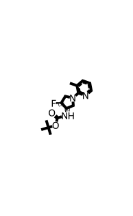 Cc1cccnc1N1C[C@H](NC(=O)OC(C)(C)C)[C@@H](F)C1